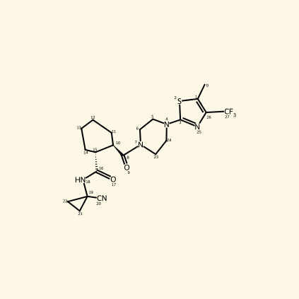 Cc1sc(N2CCN(C(=O)[C@@H]3CCCC[C@H]3C(=O)NC3(C#N)CC3)CC2)nc1C(F)(F)F